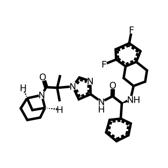 CC(C)(C(=O)N1[C@@H]2CCC[C@H]1C2)n1cnc(NC(=O)[C@@H](NC2CCc3cc(F)cc(F)c3C2)c2ccccc2)c1